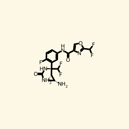 NC(=O)N[C@@](c1cc(NC(=O)c2coc(C(F)F)n2)ccc1F)(C(F)F)[C@H]1C[C@H]1N